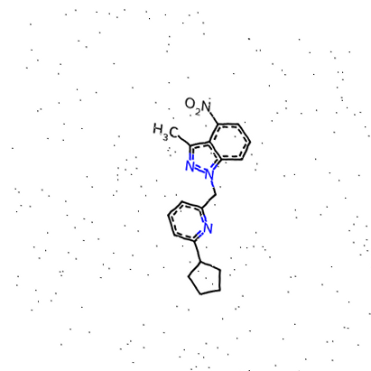 Cc1nn(Cc2cccc(C3CCCC3)n2)c2cccc([N+](=O)[O-])c12